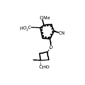 COc1cc(C#N)c(O[C@H]2C[C@@](C)(C=O)C2)cc1C(=O)O